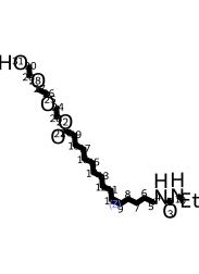 CCNC(=O)NCCCC/C=C\CCCCCCCCCC(=O)OCCOCCOCCO